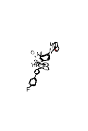 O=C(NS(=O)(=O)c1ccc(NCC23CC4CC(CC(C4)C2)C3)c([N+](=O)[O-])c1)c1ccc(-c2ccc(F)cc2)cc1